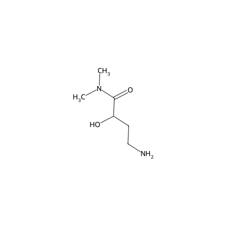 CN(C)C(=O)C(O)CCN